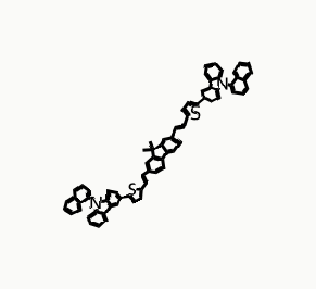 CC1(C)c2cc(/C=C/c3ccc(-c4ccc5c(c4)c4ccccc4n5-c4cccc5ccccc45)s3)ccc2-c2ccc(/C=C/c3ccc(-c4ccc5c(c4)c4ccccc4n5-c4cccc5ccccc45)s3)cc21